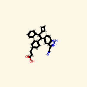 N#Cc1n[nH]c2ccc(/C(=C(/c3ccccc3)C3CCC3)c3ccc(/C=C/C(=O)O)cc3)cc12